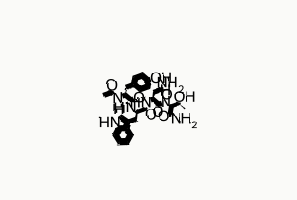 CC(=O)N[C@H](Cc1ccc(O)cc1)C(=O)N[C@H](Cc1c[nH]c2ccccc12)C(=O)N[C@@H](CC(N)=O)C(=O)N[C@H](C(N)=O)[C@@H](C)O